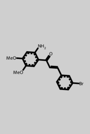 COc1cc(N)c(C(=O)/C=C/c2cccc(Br)c2)cc1OC